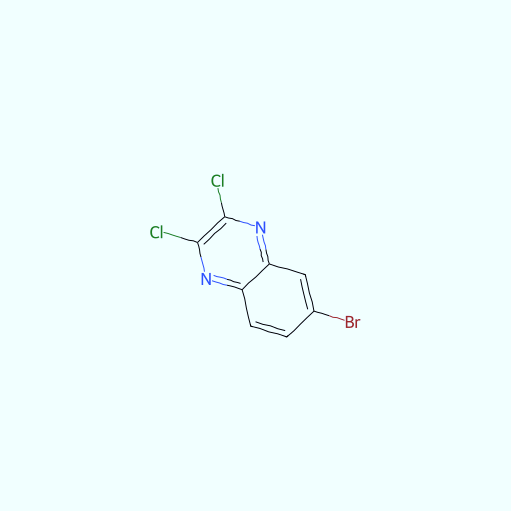 Clc1nc2ccc(Br)cc2nc1Cl